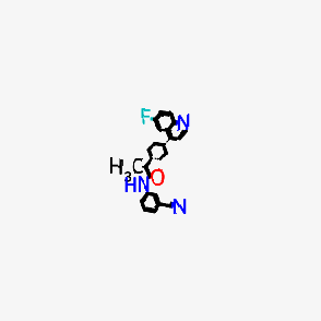 C[C@@H](C(=O)Nc1cccc(C#N)c1)[C@H]1CC[C@@H](c2ccnc3ccc(F)cc32)CC1